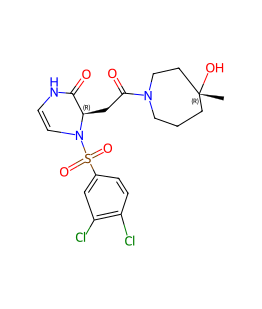 C[C@@]1(O)CCCN(C(=O)C[C@@H]2C(=O)NC=CN2S(=O)(=O)c2ccc(Cl)c(Cl)c2)CC1